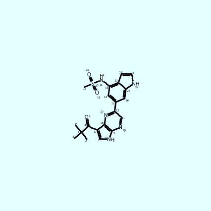 CC(C)(C)C(=O)c1c[nH]c2ncc(-c3cc(NS(C)(=O)=O)c4cc[nH]c4c3)nc12